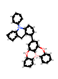 c1ccc(N2c3ccccc3Cc3c(-c4cc5c6c(c4)Oc4ccccc4B6c4ccccc4O5)cccc32)cc1